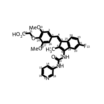 COc1cc(C=C2C(C)=C(NC(=O)Nc3cccnc3)c3cc(F)ccc32)cc(OC)c1OCC(=O)O